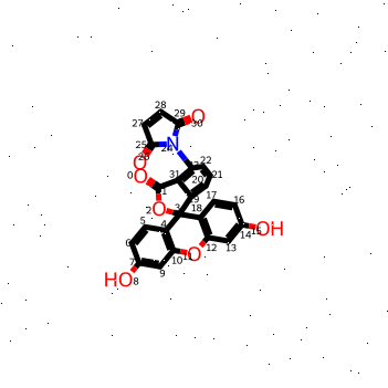 O=C1OC2(c3ccc(O)cc3Oc3cc(O)ccc32)c2cccc(N3C(=O)C=CC3=O)c21